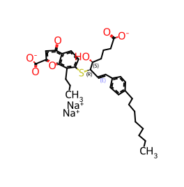 CCCCCCCCc1ccc(/C=C/[C@@H](Sc2ccc3c(=O)cc(C(=O)[O-])oc3c2CCC)[C@@H](O)CCCC(=O)[O-])cc1.[Na+].[Na+]